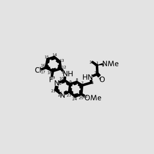 CN[C@H](C)C(=O)NCc1cc2c(Nc3cccc(Cl)c3F)ncnc2cc1OC